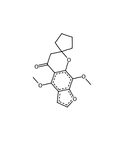 COc1c2c(c(OC)c3occc13)OC1(CCCC1)CC2=O